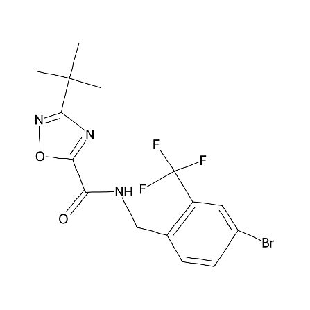 CC(C)(C)c1noc(C(=O)NCc2ccc(Br)cc2C(F)(F)F)n1